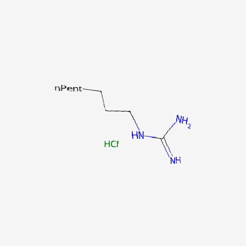 CCCCCCCCNC(=N)N.Cl